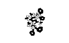 CC(=O)OC1C(OP(=O)(Oc2ccccc2)Oc2ccccc2)OC([C@@H](COP(=O)(OCc2ccccc2)OCc2ccccc2)OC(C)=O)C(OC(C)=O)C1OC(C)=O